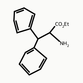 CCOC(=O)C(N)C(c1ccccc1)c1ccccc1